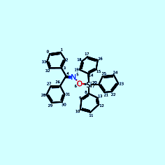 c1ccc(C(=NO[Si](c2ccccc2)(c2ccccc2)c2ccccc2)c2ccccc2)cc1